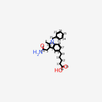 Cc1c(CC(N)=O)c2cc(CCCCC(=O)O)ccc2n1Cc1ccccc1